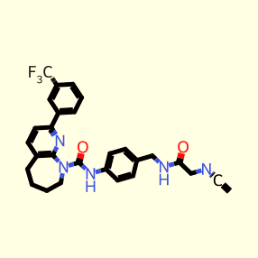 C=C=NCC(=O)NCc1ccc(NC(=O)N2CCCCc3ccc(-c4cccc(C(F)(F)F)c4)nc32)cc1